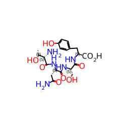 C[C@@H](O)[C@H](N)C(=O)N[C@@H](CC(N)=O)C(=O)N[C@@H](CO)C(=O)N[C@@H](Cc1ccc(O)cc1)C(=O)O